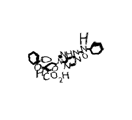 O=C(Nc1ncnc2c1ncn2[C@@H]1O[C@H](C(=O)O)[C@@H]2OC3(CCCCC3)OC21)NC1CCCCC1